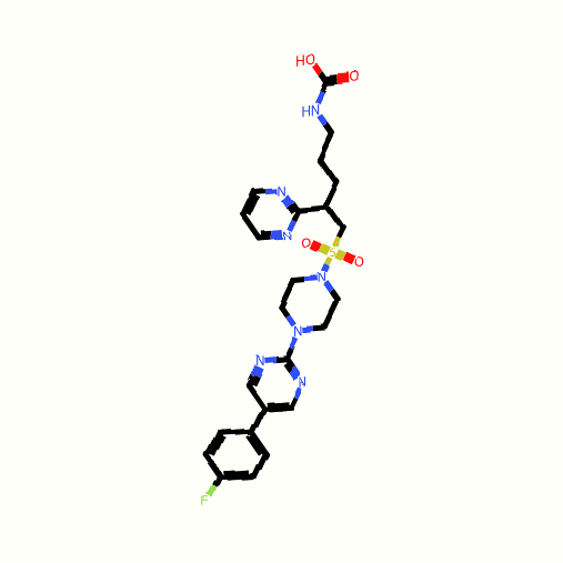 O=C(O)NCCCC(CS(=O)(=O)N1CCN(c2ncc(-c3ccc(F)cc3)cn2)CC1)c1ncccn1